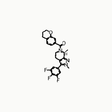 C[C@H]1c2nn(C)c(-c3cc(F)c(F)c(F)c3)c2CCN1C(=O)c1ccc2c(c1)OCCC2